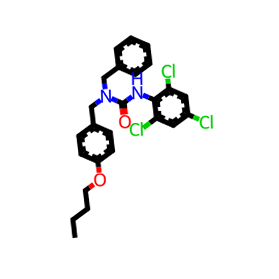 CCCCOc1ccc(CN(Cc2ccccc2)C(=O)Nc2c(Cl)cc(Cl)cc2Cl)cc1